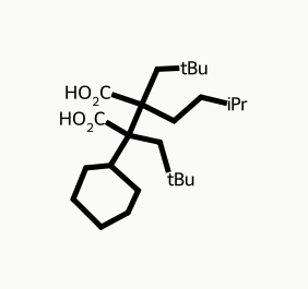 CC(C)CCC(CC(C)(C)C)(C(=O)O)C(CC(C)(C)C)(C(=O)O)C1CCCCC1